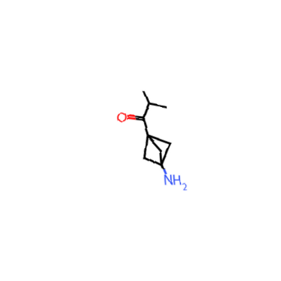 CC(C)C(=O)C12CC(N)(C1)C2